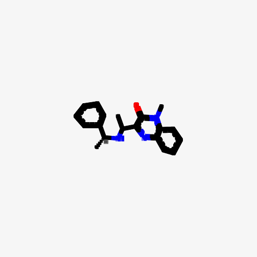 CC(N[C@H](C)c1ccccc1)c1nc2ccccc2n(C)c1=O